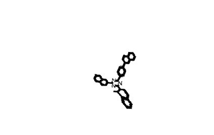 CC1c2ccccc2C=CC1c1nc(-c2ccc(-c3ccc4ccccc4c3)cc2)nc(-c2ccc3ccccc3c2)n1